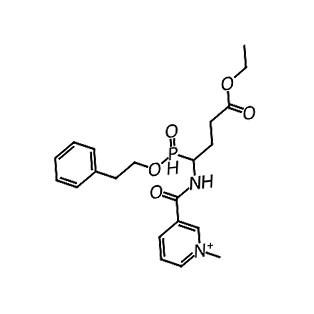 CCOC(=O)CCC(NC(=O)c1ccc[n+](C)c1)[PH](=O)OCCc1ccccc1